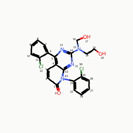 O=c1ccc2c(-c3ccccc3Cl)nc(N(CO)CCO)nc2n1-c1ccccc1Cl